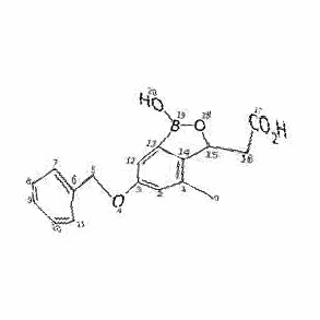 Cc1cc(OCc2ccccc2)cc2c1C(CC(=O)O)OB2O